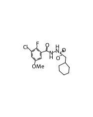 COc1cc(Cl)c(F)c(C(=O)NNS(=O)(=O)CC2CCCCC2)c1